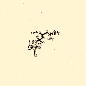 CCCC(CN(CCC)C(C)C)CC(C)(C)NS(C)(=O)=O